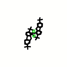 CC(C)(C)c1ccc2c(c1)Cc1c-2ccc(C(C)(C)C)[c]1[Zr]([Cl])([Cl])[c]1c(C(C)(C)C)ccc2c1Cc1cc(C(C)(C)C)ccc1-2